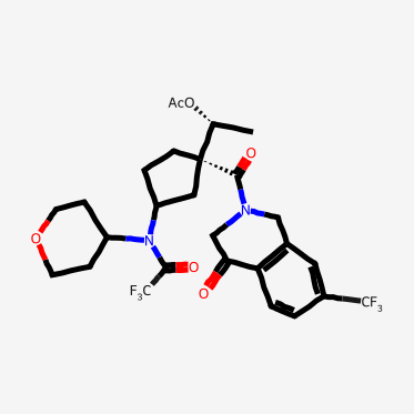 CC(=O)O[C@H](C)[C@]1(C(=O)N2CC(=O)c3ccc(C(F)(F)F)cc3C2)CCC(N(C(=O)C(F)(F)F)C2CCOCC2)C1